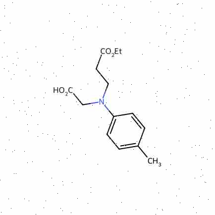 CCOC(=O)CCN(CC(=O)O)c1ccc(C)cc1